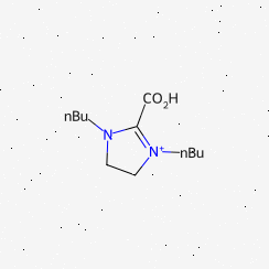 CCCCN1CC[N+](CCCC)=C1C(=O)O